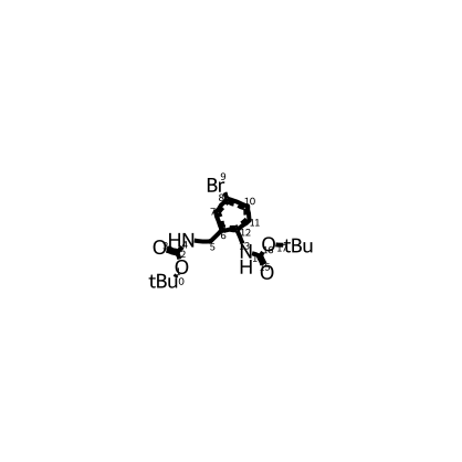 CC(C)(C)OC(=O)NCc1cc(Br)ccc1NC(=O)OC(C)(C)C